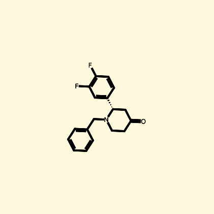 O=C1CCN(Cc2ccccc2)[C@H](c2ccc(F)c(F)c2)C1